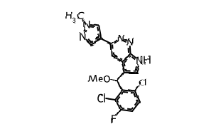 COC(c1c(Cl)ccc(F)c1Cl)c1c[nH]c2nnc(-c3cnn(C)c3)cc12